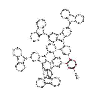 N#Cc1ccc(-c2ccc(-n3c4ccc(-n5c6ccccc6c6ccccc65)cc4c4cc(-n5c6ccccc6c6ccccc65)ccc43)c(-c3cccc(-n4c5ccc(-n6c7ccccc7c7ccccc76)cc5c5cc(-n6c7ccccc7c7ccccc76)ccc54)c3-c3nc(-c4ccccc4)nc(-c4ccccc4)n3)c2)cc1